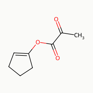 CC(=O)C(=O)OC1=CCCC1